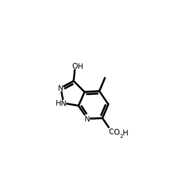 Cc1cc(C(=O)O)nc2[nH]nc(O)c12